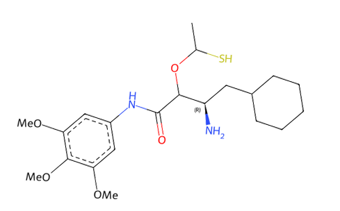 COc1cc(NC(=O)C(OC(C)S)[C@H](N)CC2CCCCC2)cc(OC)c1OC